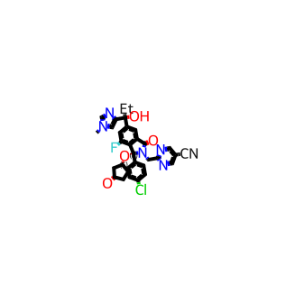 CCC(O)(c1cc(F)c2c(c1)C(=O)N(Cc1ncc(C#N)cn1)[C@@]2(O[C@H]1CCC(=O)C1)c1ccc(Cl)cc1)c1cn(C)cn1